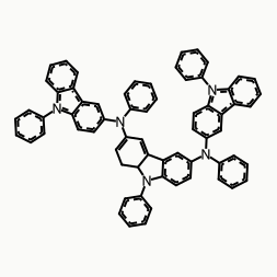 C1=C2c3cc(N(c4ccccc4)c4ccc5c(c4)c4ccccc4n5-c4ccccc4)ccc3N(c3ccccc3)C2CC=C1N(c1ccccc1)c1ccc2c(c1)c1ccccc1n2-c1ccccc1